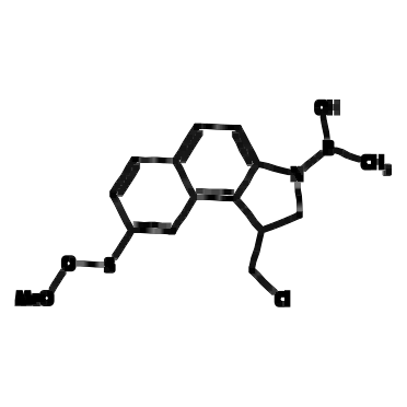 COOSc1ccc2ccc3c(c2c1)C(CCl)CN3B(C)O